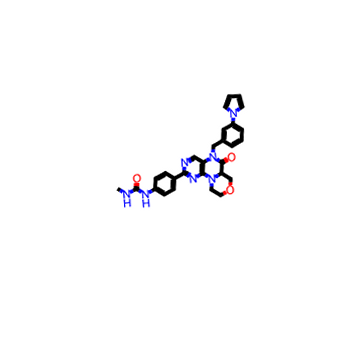 CNC(=O)Nc1ccc(-c2ncc3c(n2)N2CCOCC2C(=O)N3Cc2cccc(-n3cccc3)c2)cc1